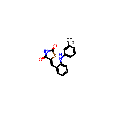 O=C1NC(=O)C(=Cc2ccccc2Nc2cccc(C(F)(F)F)c2)S1